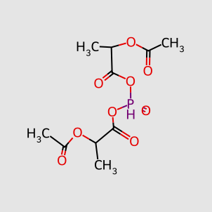 CC(=O)OC(C)C(=O)O[PH](=O)OC(=O)C(C)OC(C)=O